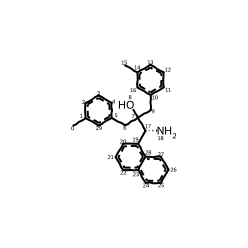 Cc1cccc(CC(O)(Cc2cccc(C)c2)[C@H](N)c2cccc3ccccc23)c1